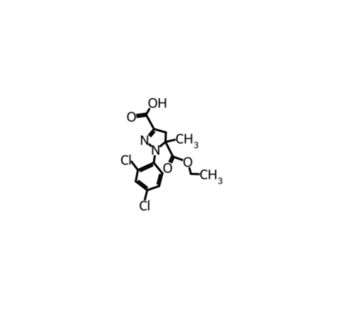 CCOC(=O)C1(C)CC(C(=O)O)=NN1c1ccc(Cl)cc1Cl